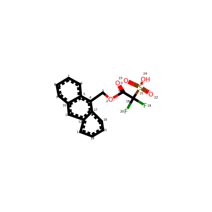 O=C(OCc1c2ccccc2cc2ccccc12)C(F)(F)S(=O)(=O)O